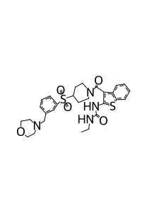 CCNC(=O)Nc1sc2ccccc2c1C(=O)N1CCC(S(=O)(=O)c2cccc(CN3CCOCC3)c2)CC1